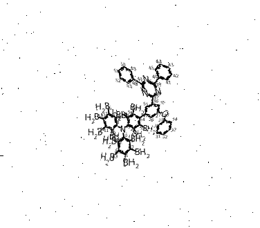 Bc1c(B)c(B)c(N(c2c(B)c(B)c(B)c(B)c2B)c2c(B)c(B)c(-c3cc(Oc4ccccc4)cc(-c4nc(-c5ccccc5)nc(-c5ccccc5)n4)c3)c(B)c2B)c(B)c1B